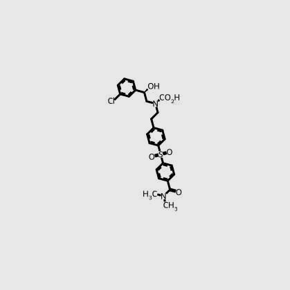 CN(C)C(=O)c1ccc(S(=O)(=O)c2ccc(CCN(C[C@H](O)c3cccc(Cl)c3)C(=O)O)cc2)cc1